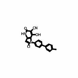 Cc1ccc(-c2ccc(-n3c(Cl)cc4[nH]c(=O)c(C#N)c(O)c43)cc2)cc1